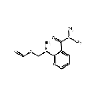 CN(C)C(=O)c1cccnc1[SH](N)COC=O